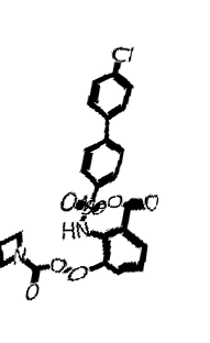 COC(=O)c1cccc(OOC(=O)N2CCC2)c1NS(=O)(=O)c1ccc(-c2ccc(Cl)cc2)cc1